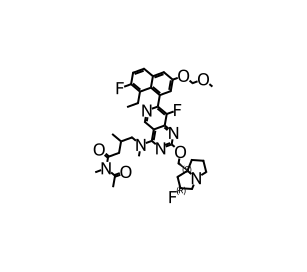 CCc1c(F)ccc2cc(OCOC)cc(-c3ncc4c(N(C)CC(C)CC(=O)N(C)C(C)=O)nc(OC[C@@]56CCCN5C[C@H](F)C6)nc4c3F)c12